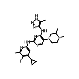 Cc1nc(Nc2ncc(N3CCN(C)C(C)C3)c(Nc3nn[nH]c3C)n2)cc(C2CC2)c1F